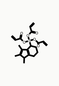 C=CC(=O)[O][Ti]([O]C(=O)C=C)([O]C(=O)C=C)[CH]1CCCC2=C1C(C)=C(C)C2C